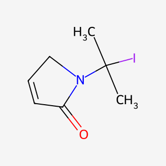 CC(C)(I)N1CC=CC1=O